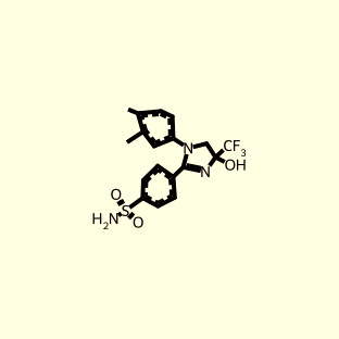 Cc1ccc(N2CC(O)(C(F)(F)F)N=C2c2ccc(S(N)(=O)=O)cc2)cc1C